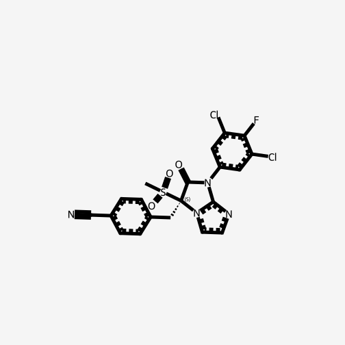 CS(=O)(=O)[C@@]1(Cc2ccc(C#N)cc2)C(=O)N(c2cc(Cl)c(F)c(Cl)c2)c2nccn21